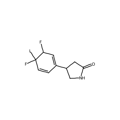 O=C1CC(C2=CC(F)C(F)(I)C=C2)CN1